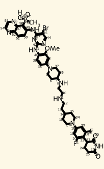 COc1cc(N2CCC(NCCNCCC3CCN(c4cc(F)c(C5CCC(=O)NC5=O)c(F)c4)CC3)CC2)ccc1Nc1ncc(Br)c(Nc2ccc3nccnc3c2P(C)(C)=O)n1